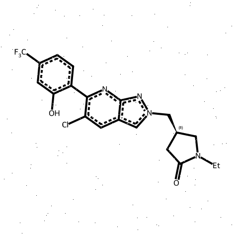 CCN1C[C@H](Cn2cc3cc(Cl)c(-c4ccc(C(F)(F)F)cc4O)nc3n2)CC1=O